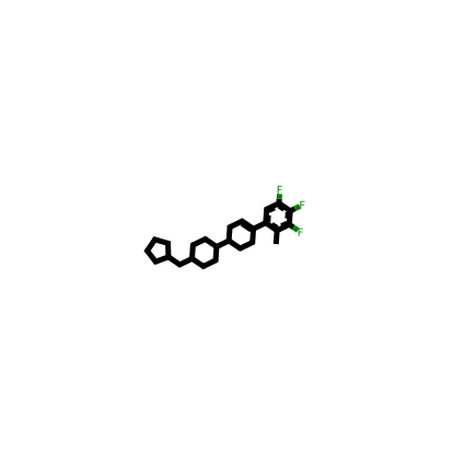 Cc1c(C2=CCC(C3CCC(CC4CCCC4)CC3)CC2)cc(F)c(F)c1F